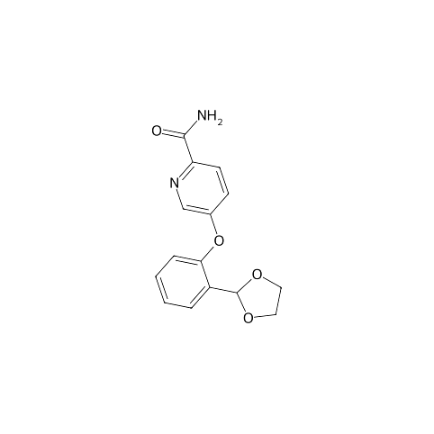 NC(=O)c1ccc(Oc2ccccc2C2OCCO2)cn1